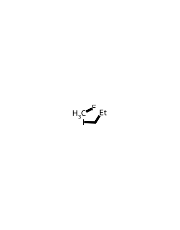 CF.[CH2]CCI